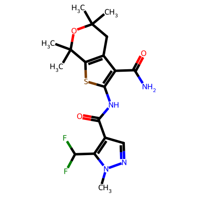 Cn1ncc(C(=O)Nc2sc3c(c2C(N)=O)CC(C)(C)OC3(C)C)c1C(F)F